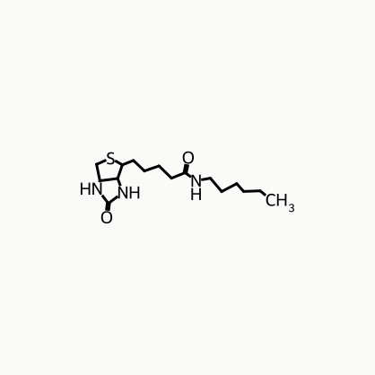 CCCCCCNC(=O)CCCCC1SCC2NC(=O)NC21